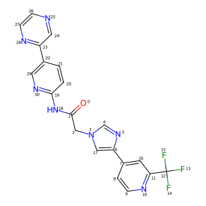 O=C(Cn1cnc(-c2ccnc(C(F)(F)F)c2)c1)Nc1ccc(-c2cnccn2)cn1